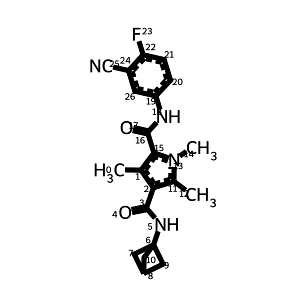 Cc1c(C(=O)NC23CC(C2)C3)c(C)n(C)c1C(=O)Nc1ccc(F)c(C#N)c1